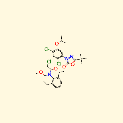 CC(C)Oc1cc(-n2nc(C(C)(C)C)oc2=O)c(Cl)cc1Cl.CCc1cccc(CC)c1N(COC)C(=O)CCl